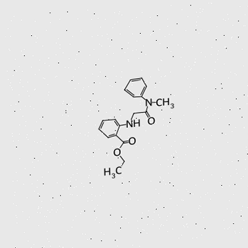 CCOC(=O)c1ccccc1NCC(=O)N(C)c1ccccc1